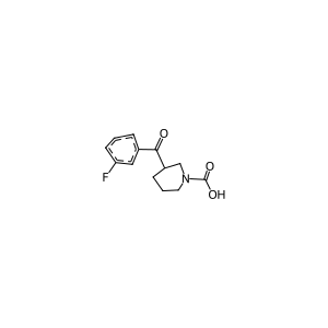 O=C(c1cccc(F)c1)C1CCCN(C(=O)O)C1